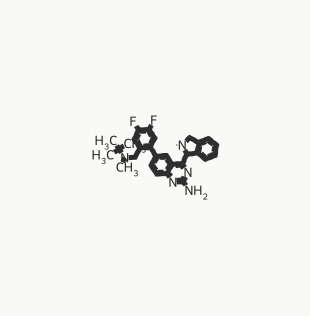 CN(Cc1cc(F)c(F)cc1-c1ccc2nc(N)nc(C3[N]Cc4ccccc43)c2c1)C(C)(C)C